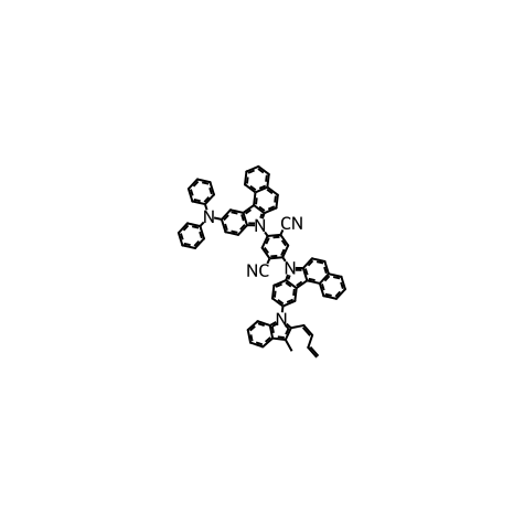 C=C/C=C\c1c(C)c2ccccc2n1-c1ccc2c(c1)c1c3ccccc3ccc1n2-c1cc(C#N)c(-n2c3ccc(N(c4ccccc4)c4ccccc4)cc3c3c4ccccc4ccc32)cc1C#N